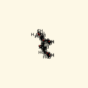 C[C@]12C[C@@H]3C[C@](C)(C1)C[C@@](Nc1nc(Cl)nc4c1ncn4[C@@H]1O[C@H](COP(=O)(O)CP(=O)(O)O)C(O)C1Oc1ccc4c(c1)c1ccccc1n4-c1nc(Cl)nc4c1ncn4[C@@H]1O[C@H](COP(=O)(O)CP(=O)(O)O)C(O)C1O)(C3)C2